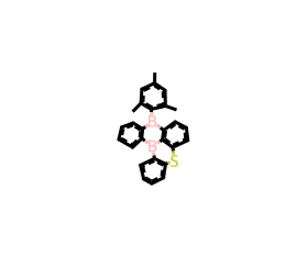 Cc1cc(C)c(B2c3ccccc3B3c4ccccc4Sc4cccc2c43)c(C)c1